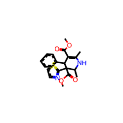 COC(=O)C1=C(C)NC(C)C(C(=O)OC)(c2nccs2)C1c1ccccc1